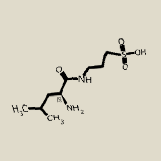 CC(C)C[C@H](N)C(=O)NCCCS(=O)(=O)O